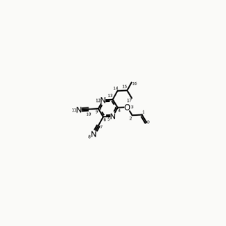 C=CCOc1nc(C#N)c(C#N)nc1CC(C)C